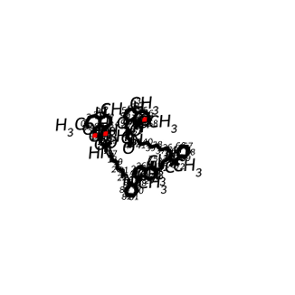 C[C@@H]1CC[C@@H]2[C@@H](C)CC[C@@H]3[C@H](C)C(OC(=O)NCCCCCCN4/C(=C/C=C5\CCCC(/C=C/C6=[N+](CCCCCCNC(=O)OC7C[C@]8(C)CC[C@H](C)[C@H]9CC[C@]%10(C)OO[C@@]98[C@@H](O7)O%10)c7ccccc7C6(C)C)=C5Cl)C(C)(C)c5ccccc54)O[C@@H](O1)[C@@]32O